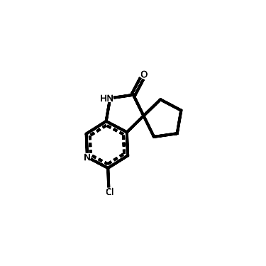 O=C1Nc2cnc(Cl)cc2C12CCCC2